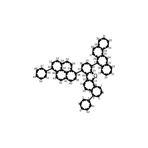 c1ccc(-c2cccc3c2ccc2c3oc3c(-c4c5ccccc5cc5c4ccc4ccccc45)ccc(-c4ccc5ccc6c(-c7ccccc7)ccc7ccc4c5c76)c32)cc1